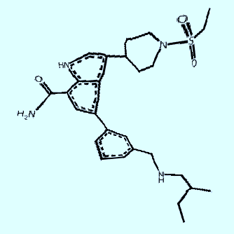 CCC(C)CNCc1cccc(-c2cc(C(N)=O)c3[nH]cc(C4CCN(S(=O)(=O)CC)CC4)c3c2)c1